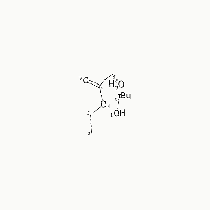 CC(C)(C)O.CCOC(C)=O.O